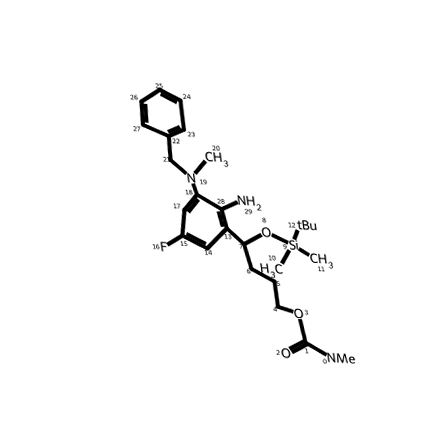 CNC(=O)OCCCC(O[Si](C)(C)C(C)(C)C)c1cc(F)cc(N(C)Cc2ccccc2)c1N